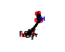 CCCc1cc(C(O)(C(F)(F)F)C(F)(F)F)cc(CCC)c1OCCCCCCCCCCN1C(=O)NC(C)(c2ccc3c(c2)OCO3)C1=O